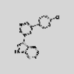 Clc1ccc(-c2cncc(-c3c[nH]c4ccccc34)c2)cc1